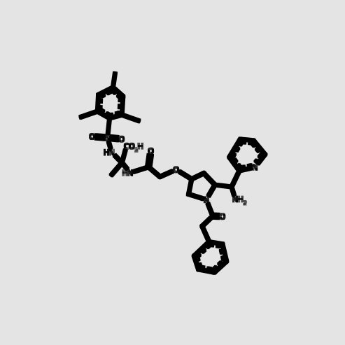 Cc1cc(C)c(S(=O)(=O)NC(C)(NC(=O)COC2CC(C(N)c3ccccn3)N(C(=O)Cc3ccccc3)C2)C(=O)O)c(C)c1